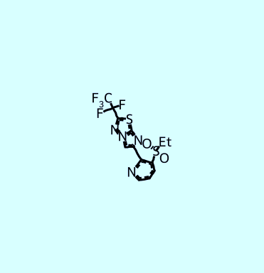 CCS(=O)(=O)c1cccnc1-c1cn2nc(C(F)(F)C(F)(F)F)sc2n1